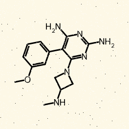 CNC1CN(c2nc(N)nc(N)c2-c2cccc(OC)c2)C1